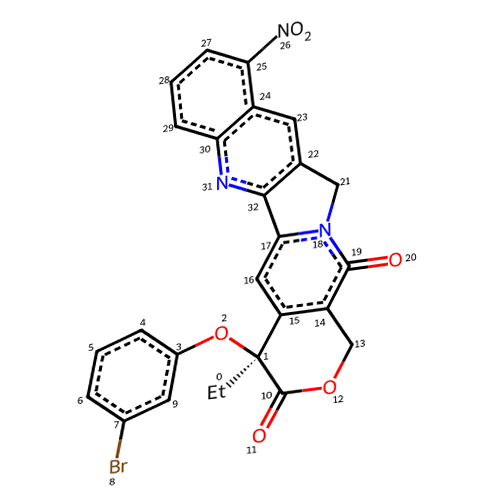 CC[C@@]1(Oc2cccc(Br)c2)C(=O)OCc2c1cc1n(c2=O)Cc2cc3c([N+](=O)[O-])cccc3nc2-1